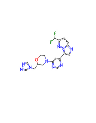 FC(F)c1ccc2ncc(-c3cc(N4CCOC(Cn5cnnc5)C4)ncn3)n2n1